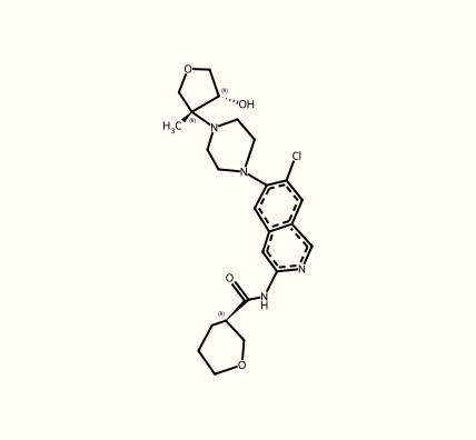 C[C@@]1(N2CCN(c3cc4cc(NC(=O)[C@@H]5CCCOC5)ncc4cc3Cl)CC2)COC[C@@H]1O